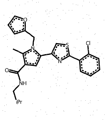 Cc1c(C(=O)NCC(C)C)cc(-c2csc(-c3ccccc3Cl)n2)n1Cc1ccco1